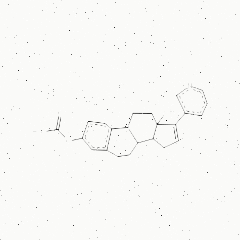 CC(=O)Oc1ccc2c(c1)CCC1C2CCC2(C)C(c3cccnc3)=CCC12